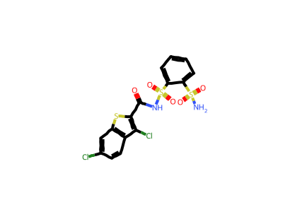 NS(=O)(=O)c1ccccc1S(=O)(=O)NC(=O)c1sc2cc(Cl)ccc2c1Cl